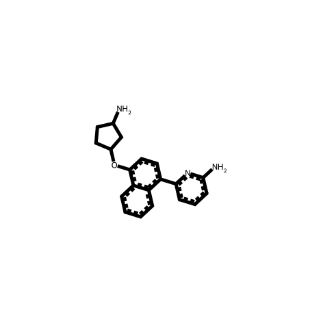 Nc1cccc(-c2ccc(OC3CCC(N)C3)c3ccccc23)n1